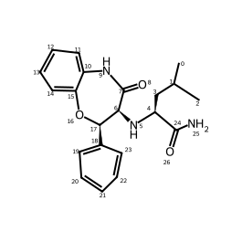 CC(C)C[C@H](N[C@@H]1C(=O)Nc2ccccc2O[C@@H]1c1ccccc1)C(N)=O